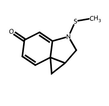 CSN1CC2CC23C=CC(=O)C=C13